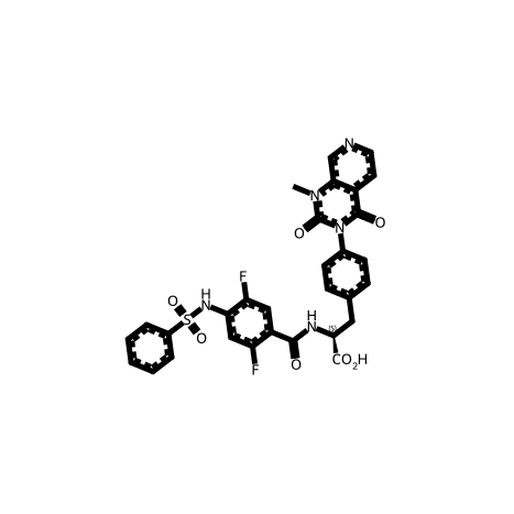 Cn1c(=O)n(-c2ccc(C[C@H](NC(=O)c3cc(F)c(NS(=O)(=O)c4ccccc4)cc3F)C(=O)O)cc2)c(=O)c2ccncc21